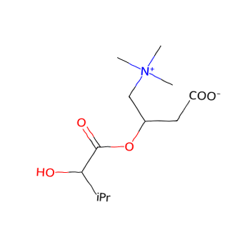 CC(C)C(O)C(=O)OC(CC(=O)[O-])C[N+](C)(C)C